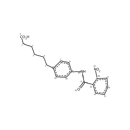 O=C(O)CCCCCc1ccc(NC(=O)c2ccccc2[N+](=O)[O-])cc1